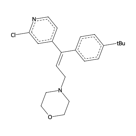 CC(C)(C)c1ccc(/C(=C\CN2CCOCC2)c2ccnc(Cl)c2)cc1